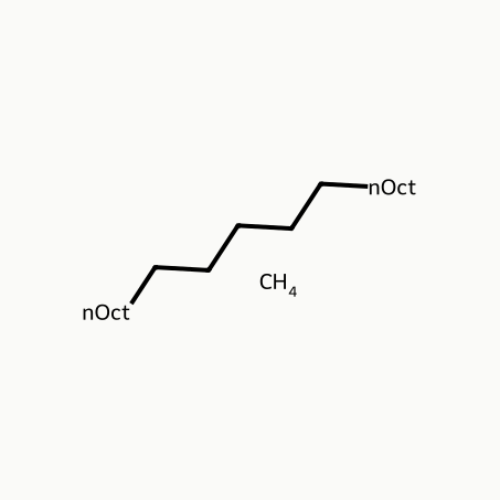 C.CCCCCCCCCCCCCCCCCCCCC